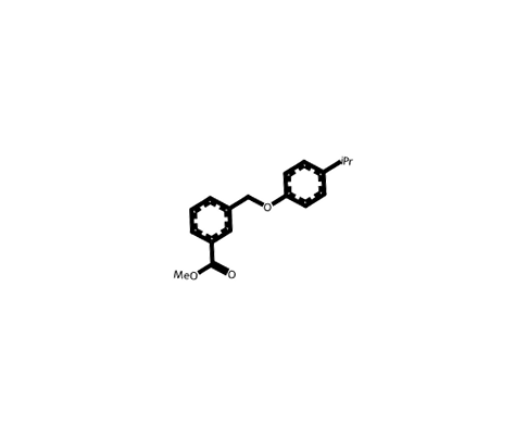 COC(=O)c1cccc(COc2ccc(C(C)C)cc2)c1